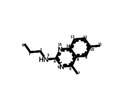 CCCNc1nc(C)c2cc(C)ccc2n1